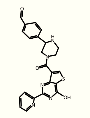 O=Cc1ccc(C2CN(C(=O)c3csc4c(O)nc(-c5ccccn5)nc34)CCN2)cc1